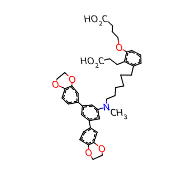 CN(CCCCCCc1cccc(OCCCC(=O)O)c1CCC(=O)O)c1cc(-c2ccc3c(c2)OCCO3)cc(-c2ccc3c(c2)OCCO3)c1